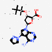 CC(C)(C)[Si](C)(C)O[C@H]1C[C@H](n2cc(-n3cccn3)c3c(N)ncnc32)O[C@@H]1C(=O)O